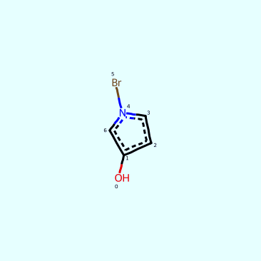 Oc1ccn(Br)c1